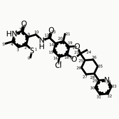 CSc1cc(C)[nH]c(=O)c1CNC(=O)c1cc(Cl)c2c(c1C)OC(C)(C1CCC(c3ccccn3)CC1)O2